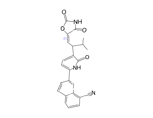 CC(C)C(/C=C1/OC(=O)NC1=O)c1ccc(-c2ccc3cccc(C#N)c3c2)[nH]c1=O